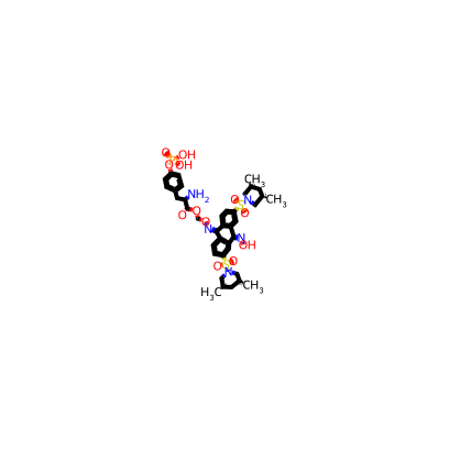 C[C@@H]1C[C@H](C)CN(S(=O)(=O)c2ccc3c(c2)C(=NO)c2cc(S(=O)(=O)N4C[C@H](C)C[C@H](C)C4)ccc2C3=NOCOC(=O)C(N)Cc2ccc(OP(=O)(O)O)cc2)C1